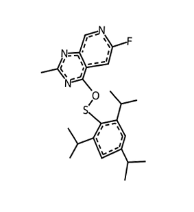 Cc1nc(OSc2c(C(C)C)cc(C(C)C)cc2C(C)C)c2cc(F)ncc2n1